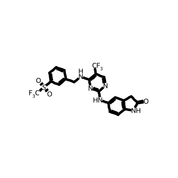 O=C1Cc2cc(Nc3ncc(C(F)(F)F)c(NCc4cccc(S(=O)(=O)C(F)(F)F)c4)n3)ccc2N1